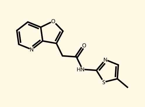 Cc1cnc(NC(=O)Cc2coc3cccnc23)s1